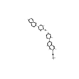 Cc1ccc2cc(-c3cc(F)c(C(F)(F)Oc4ccc(-c5cc(F)c6c(F)c(C#CC(F)(F)F)c(F)cc6c5)c(F)c4)c(F)c3)ccc2c1